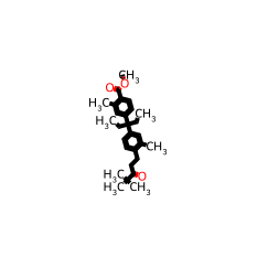 CCC(CC)(c1ccc(CCC(=O)C(C)(C)C)c(C)c1)c1ccc(C(=O)OC)c(C)c1